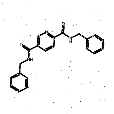 O=C(NCc1ccccc1)c1ccc(C(=O)NCc2ccccc2)nc1